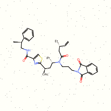 C=C[C@@H](CC)CC(=O)N(CCCN1C(=O)c2ccccc2C1=O)[C@H](C[C@@H](OC(C)=O)c1nc(C(=O)NC[C@@H](C)c2ccccc2)cs1)C(C)C